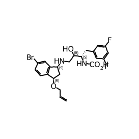 C=CCO[C@@H]1C[C@H](NC[C@@H](O)[C@H](Cc2cc(F)cc(F)c2)NC(=O)O)c2cc(Br)ccc21